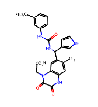 CCOC(=O)c1cccc(NC(=O)NC(c2cc[nH]c2)c2cc3c(cc2C(F)(F)F)[nH]c(=O)c(=O)n3CC(=O)O)c1